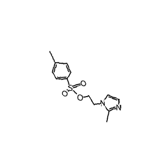 Cc1ccc(S(=O)(=O)OCCn2ccnc2C)cc1